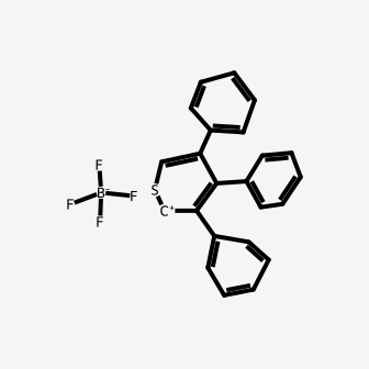 F[B-](F)(F)F.c1ccc(-c2cs[cH+]c(-c3ccccc3)c2-c2ccccc2)cc1